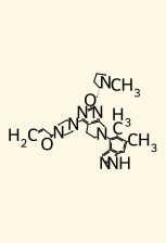 C=CC(=O)N1CCN(c2nc(OC[C@@H]3CCCN3C)nc3c2CCN(c2c(C)c(C)cc4[nH]ncc24)C3)CC1